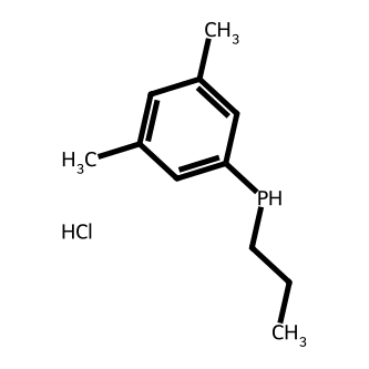 CCCPc1cc(C)cc(C)c1.Cl